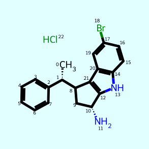 C[C@@H](c1ccccc1)C1C[C@@H](N)c2[nH]c3ccc(Br)cc3c21.Cl